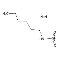 CCCCCCN[SH](=O)=O.[NaH]